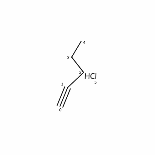 C#CCCC.Cl